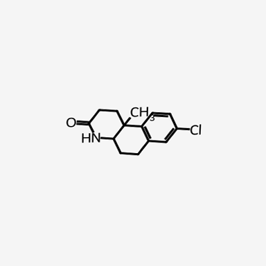 CC12CCC(=O)NC1CCc1cc(Cl)ccc12